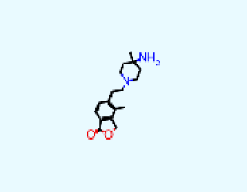 Cc1c(CCN2CCC(C)(N)CC2)ccc2c1COC2=O